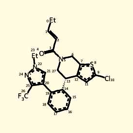 CC/C=C/C(=O)N1Cc2sc(Cl)cc2[C@H](c2ccccc2-c2cn(CC)nc2C(F)(F)F)C1